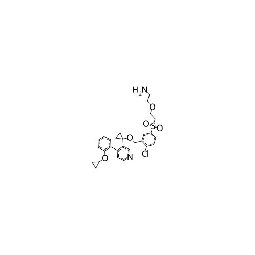 NCCOCCS(=O)(=O)c1ccc(Cl)c(COC2(c3cnccc3-c3ccccc3OC3CC3)CC2)c1